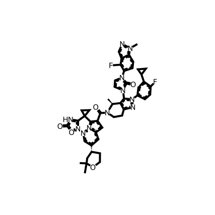 C[C@H]1c2c(nn(-c3ccc(F)c(C4CC4)c3)c2-n2ccn(-c3ccc4c(cnn4C)c3F)c2=O)CCN1C(=O)c1cc2cc([C@@H]3CCOC(C)(C)C3)cnn2c1C1(c2noc(=O)[nH]2)CC1